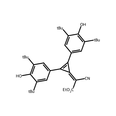 CCOC(=O)C(C#N)=C1C(c2cc(C(C)(C)C)c(O)c(C(C)(C)C)c2)=C1c1cc(C(C)(C)C)c(O)c(C(C)(C)C)c1